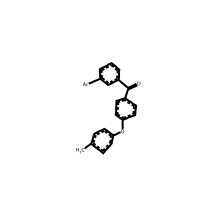 CC(=O)c1cccc(C(=O)c2ccc(Oc3ccc(C)cc3)cc2)c1